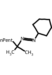 CCCCCC(C)(C)N=NC1CCCCC1